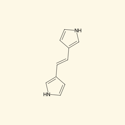 C(=Cc1cc[nH]c1)c1cc[nH]c1